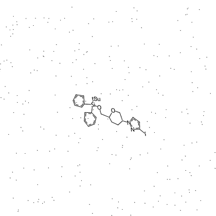 CC(C)(C)[Si](OCC1CCC(n2ccc(I)n2)CO1)(c1ccccc1)c1ccccc1